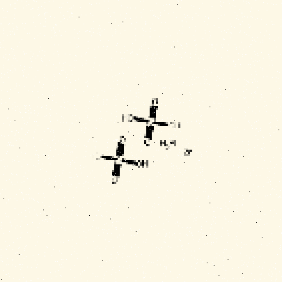 O=S(=O)(O)O.O=S(=O)(O)O.[AlH3].[Zn]